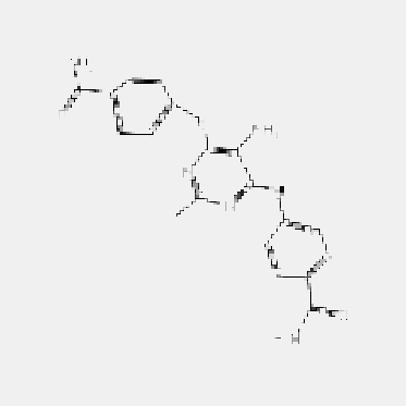 Cc1nc(Nc2ccc(C(N)=O)cc2)c(N)c(Nc2ccc(C(N)=O)cc2)n1